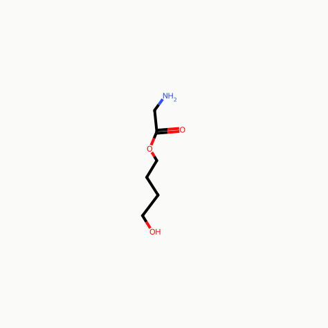 NCC(=O)OCCCCO